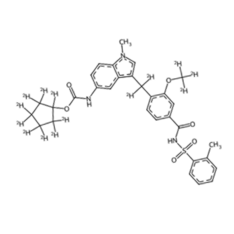 [2H]C([2H])([2H])Oc1cc(C(=O)NS(=O)(=O)c2ccccc2C)ccc1C([2H])([2H])c1cn(C)c2ccc(NC(=O)OC3([2H])C([2H])([2H])C([2H])([2H])C([2H])([2H])C3([2H])[2H])cc12